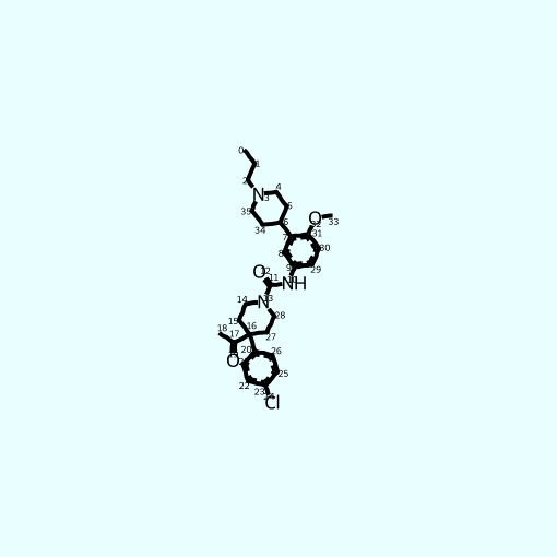 CCCN1CCC(c2cc(NC(=O)N3CCC(C(C)=O)(c4ccc(Cl)cc4)CC3)ccc2OC)CC1